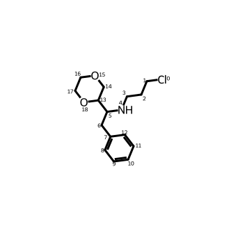 ClCCCNC(Cc1ccccc1)C1COCCO1